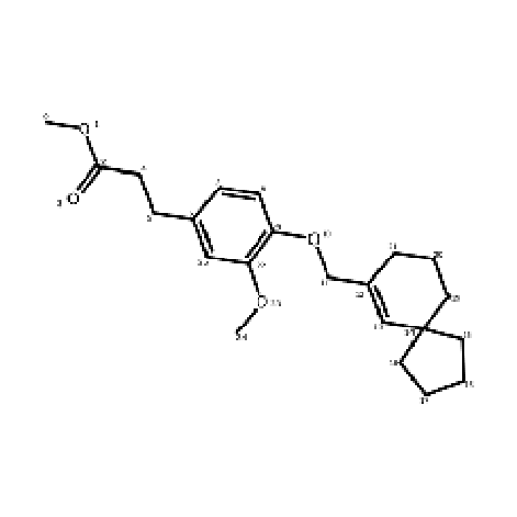 COC(=O)CCc1ccc(OCC2=CC3(CCCC3)CCC2)c(OC)c1